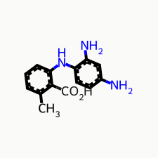 Cc1cccc(Nc2ccc(N)cc2N)c1C(=O)O